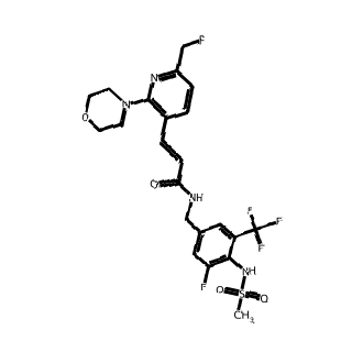 CS(=O)(=O)Nc1c(F)cc(CNC(=O)/C=C/c2ccc(CF)nc2N2CCOCC2)cc1C(F)(F)F